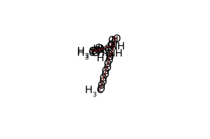 COCCOCCOCCOCCOCCOCCOCCOCCOCCOCC(=O)NCCCC[C@H](NC(=O)CCCN1C(=O)C=CC1=O)C(=O)NCCCC(=O)NCCNC(=O)OCC(=O)OC(C)(C)C